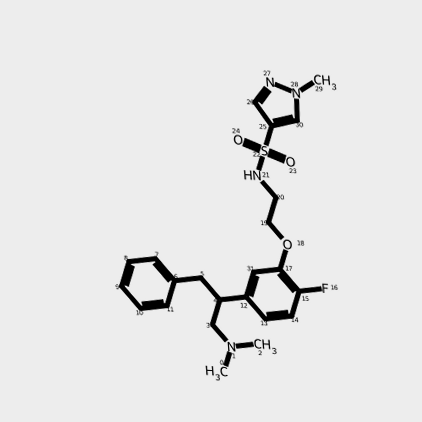 CN(C)CC(Cc1ccccc1)c1ccc(F)c(OCCNS(=O)(=O)c2cnn(C)c2)c1